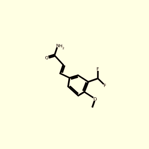 COc1ccc(C=CC(N)=O)cc1C(F)F